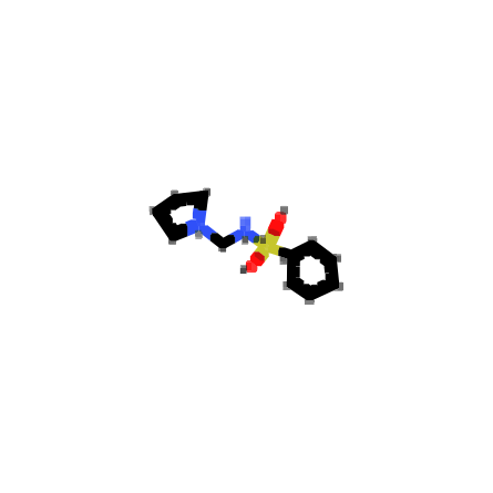 O=S(=O)(NCn1cccc1)c1ccccc1